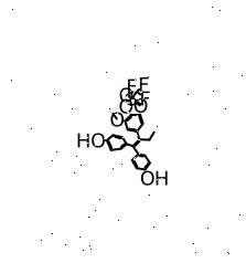 CCC(=C(c1ccc(O)cc1)c1ccc(O)cc1)c1ccc(OS(=O)(=O)C(F)(F)F)c(OC)c1